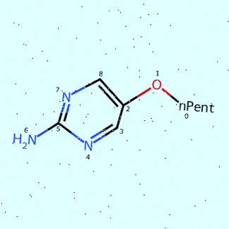 CCCCCOc1cnc(N)nc1